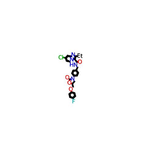 CCc1nc2cc(Cl)ccn2c1C(=O)NCc1ccc(N2CC(COc3ccc(F)cc3)OC2=O)cc1